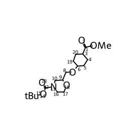 COC(=O)C1CCC(OCC2CN(C(=O)OC(C)(C)C)CCO2)CC1